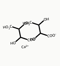 O=C([O-])C(O)C(O)C(=O)O.O=C([O-])C(O)C(O)C(=O)O.[Ca+2]